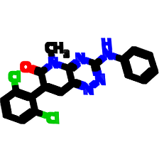 Cn1c(=O)c(-c2c(Cl)cccc2Cl)cc2nnc(Nc3ccccc3)nc21